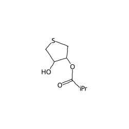 CC(C)C(=O)OC1CSCC1O